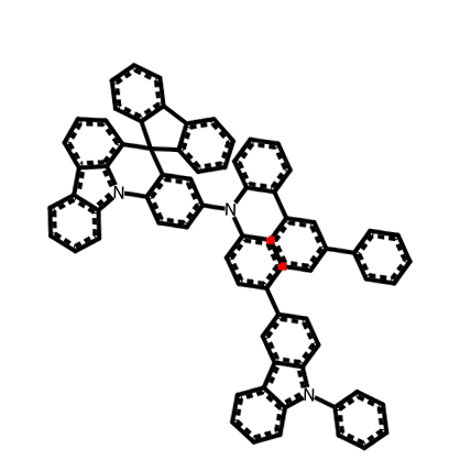 c1ccc(-c2cccc(-c3ccccc3N(c3ccc(-c4ccc5c(c4)c4ccccc4n5-c4ccccc4)cc3)c3ccc4c(c3)C3(c5ccccc5-c5ccccc53)c3cccc5c6ccccc6n-4c35)c2)cc1